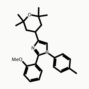 COc1ccccc1-c1nc(C2CC(C)(C)OC(C)(C)C2)cn1-c1ccc(C)cc1